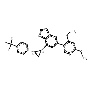 COc1ncc(-c2cc([C@H]3C[C@@H]3c3ccc(C(F)(F)F)cc3)c3nccn3n2)c(OC)n1